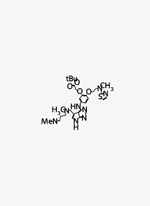 CNCCCN(C)Cc1c[nH]c2ncnc(Nc3ccc(OCCN(C)c4nccs4)c(OCC(=O)OC(C)(C)C)c3)c12